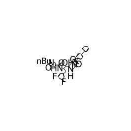 CCCCN1CC(C(=O)NC(Cc2cc(F)cc(F)c2)[C@H](O)[C@H]2CN(S(=O)(=O)c3ccc(-c4ccccc4)cc3)CCN2)CC1=O